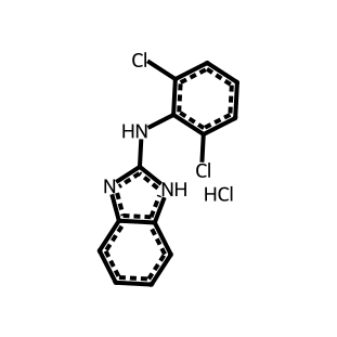 Cl.Clc1cccc(Cl)c1Nc1nc2ccccc2[nH]1